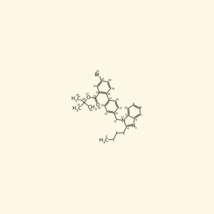 CCCCc1nc2ccccc2n1Cc1ccc(-c2ccc(Br)cc2C(=O)OC(C)(C)C)cc1